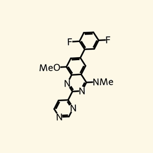 CNc1nc(-c2ccncn2)nc2c(OC)cc(-c3cc(F)ccc3F)cc12